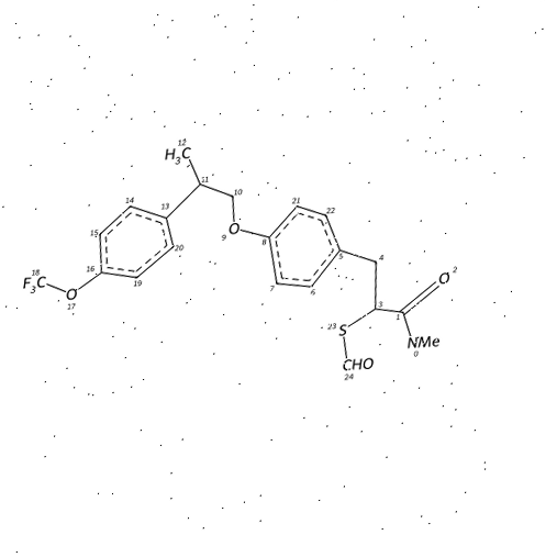 CNC(=O)C(Cc1ccc(OCC(C)c2ccc(OC(F)(F)F)cc2)cc1)SC=O